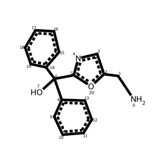 NCc1cnc(C(O)(c2ccccc2)c2ccccc2)o1